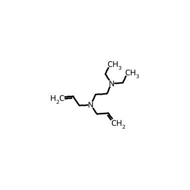 C=CCN(CC=C)CCN(CC)CC